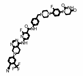 N#Cc1ccc(N2CCc3c(ncnc3Nc3ccc(C(=O)Nc4ccc(CN5CCN(c6ccc(N7CCC(=O)NC7=O)cc6F)CC5)cc4)c(F)n3)C2)cc1C(F)(F)F